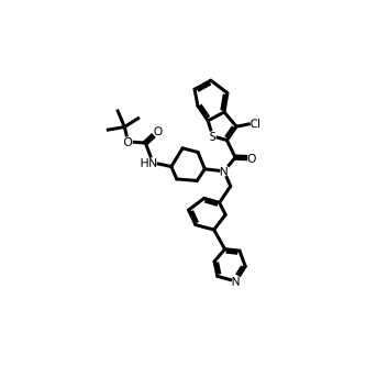 CC(C)(C)OC(=O)NC1CCC(N(CC2=CC=CC(c3ccncc3)C2)C(=O)c2sc3ccccc3c2Cl)CC1